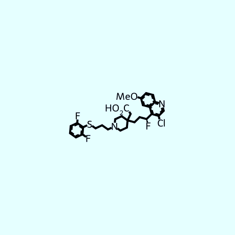 COc1ccc2ncc(Cl)c([C@@H](F)CCC3(CC(=O)O)CCN(CCCSc4c(F)cccc4F)CC3)c2c1